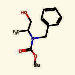 CC(C)(C)OC(=O)N(Cc1ccccc1)C(CO)C(F)(F)F